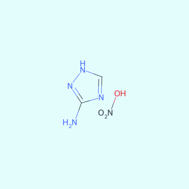 Nc1nc[nH]n1.O=[N+]([O-])O